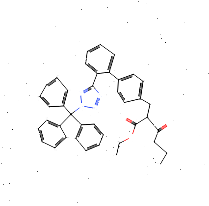 CCCC(=O)C(Cc1ccc(-c2ccccc2-c2nnn(C(c3ccccc3)(c3ccccc3)c3ccccc3)n2)cc1)C(=O)OCC